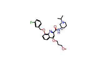 COCCCOc1cc(C(=O)N[C@@H]2CCCN(C(C)C)C2)nc2c(OCc3cccc(F)c3)cccc12